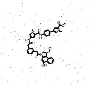 COC(=O)c1cc(-c2ccc(NC(=O)c3cc(NC(=O)Cc4cccc(CC(=O)N5C[C@@H](CCl)c6c5cc(O)c5ccccc65)c4)cn3C)cc2)cn1C